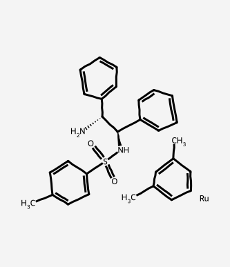 Cc1ccc(S(=O)(=O)N[C@H](c2ccccc2)[C@H](N)c2ccccc2)cc1.Cc1cccc(C)c1.[Ru]